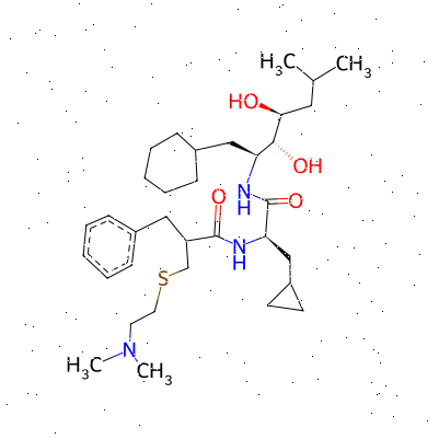 CC(C)C[C@H](O)[C@H](O)[C@H](CC1CCCCC1)NC(=O)[C@@H](CC1CC1)NC(=O)C(CSCCN(C)C)Cc1ccccc1